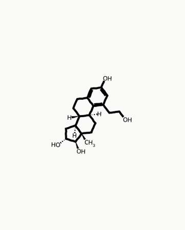 C[C@]12CC[C@@H]3c4c(CCO)cc(O)cc4CC[C@H]3[C@@H]1C[C@@H](O)[C@@H]2O